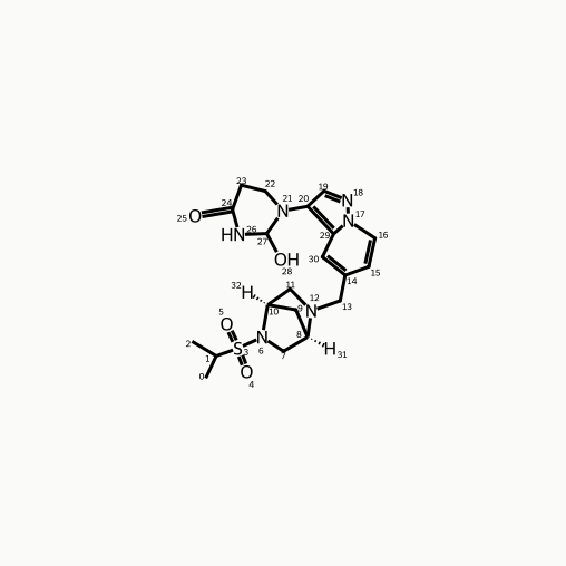 CC(C)S(=O)(=O)N1C[C@H]2C[C@@H]1CN2Cc1ccn2ncc(N3CCC(=O)NC3O)c2c1